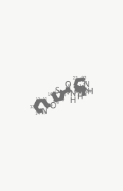 C[C@H]1[C@H](NC(=O)c2cc(Oc3ccccn3)cs2)C2CCN1CC2